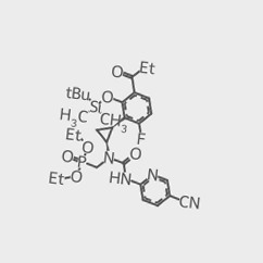 CCOP(=O)(CN(C(=O)Nc1ccc(C#N)cn1)[C@H]1C[C@H]1c1c(F)ccc(C(=O)CC)c1O[Si](C)(C)C(C)(C)C)OCC